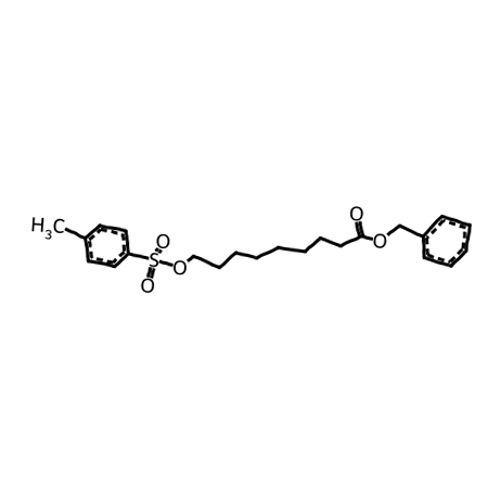 Cc1ccc(S(=O)(=O)OCCCCCCCCC(=O)OCc2ccccc2)cc1